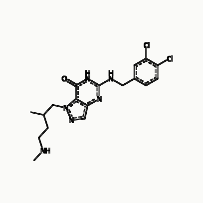 CNCCC(C)Cn1ncc2nc(NCc3ccc(Cl)c(Cl)c3)[nH]c(=O)c21